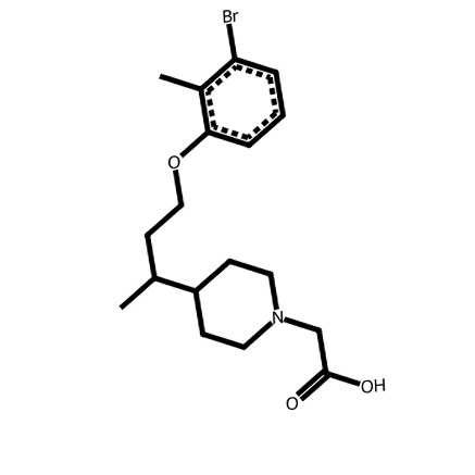 Cc1c(Br)cccc1OCCC(C)C1CCN(CC(=O)O)CC1